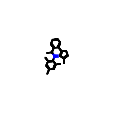 CC1=CCC(c2ccccc2C(C)Nc2c(C)cc(C)cc2C)=C1